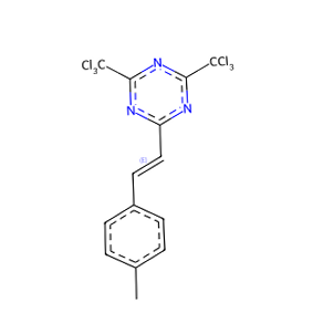 Cc1ccc(/C=C/c2nc(C(Cl)(Cl)Cl)nc(C(Cl)(Cl)Cl)n2)cc1